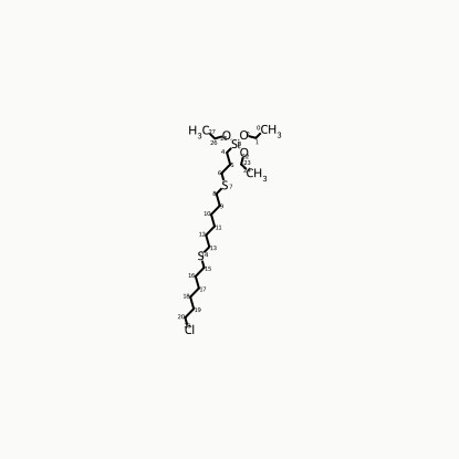 CCO[Si](CCCSCCCCCCSCCCCCCCl)(OCC)OCC